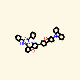 c1ccc(C2=NC(c3ccccc3)NC(c3cccc4oc5cc(-c6ccc7c(c6)oc6cc(-n8c9ccccc9c9ccccc98)ccc67)ccc5c34)N2)cc1